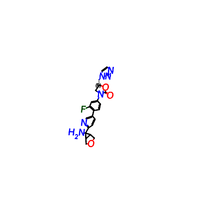 NC1(c2ccc(-c3ccc(N4C[C@H](Cn5ccnn5)OC4=O)cc3F)cn2)C2COCC21